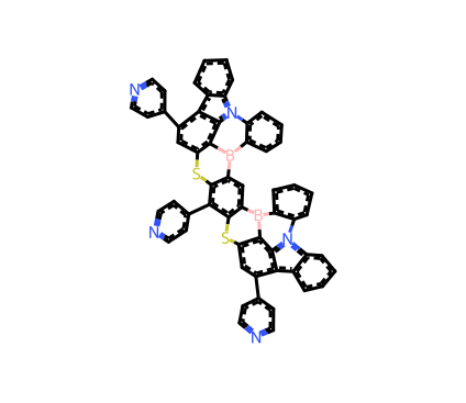 c1ccc2c(c1)B1c3cc4c(c(-c5ccncc5)c3Sc3cc(-c5ccncc5)c5c6ccccc6n-2c5c31)Sc1cc(-c2ccncc2)c2c3ccccc3n3c2c1B4c1ccccc1-3